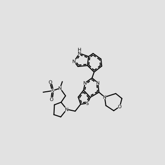 CN(CC1CCCN1Cc1cc2nc(-c3cccc4[nH]ncc34)nc(N3CCOCC3)c2s1)S(C)(=O)=O